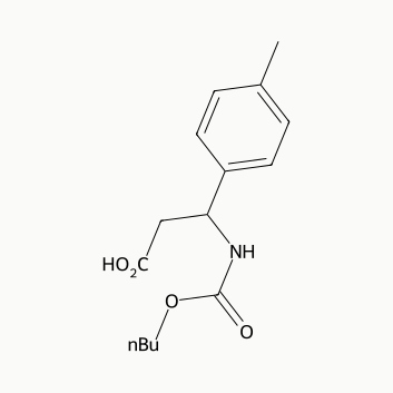 CCCCOC(=O)NC(CC(=O)O)c1ccc(C)cc1